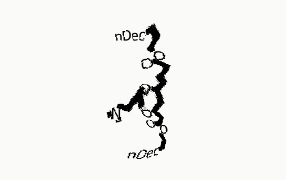 CCCCCCCCCC/C=C\COC(=O)CCCC(CCCC(=O)OC/C=C\CCCCCCCCCC)OC(=O)CCCN(C)C